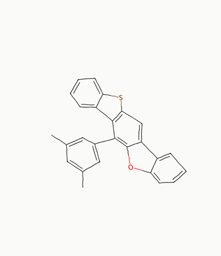 Cc1cc(C)cc(-c2c3oc4ccccc4c3cc3sc4ccccc4c23)c1